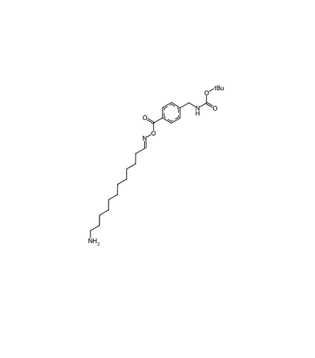 CC(C)(C)OC(=O)NCc1ccc(C(=O)ON=CCCCCCCCCCCCN)cc1